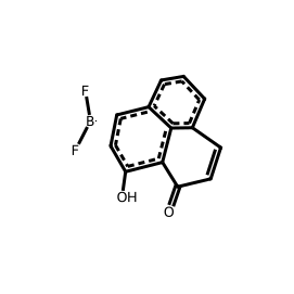 F[B]F.O=C1C=Cc2cccc3ccc(O)c1c23